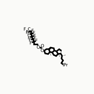 CC(C)CCC[C@@H](C)[C@H]1CCC2C3CC=C4CC(OC(=O)OCCC(F)(F)C(F)(F)C(F)(F)C(F)(F)C(F)(F)C(F)(F)F)CC[C@]4(C)C3CC[C@@]21C